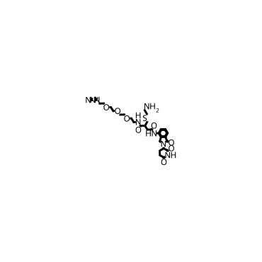 [N-]=[N+]=NCCOCCOCCOCCNC(=O)C(CSCCN)CC(=O)Nc1cccc2c1CN(C1CCC(=O)NC1=O)C2=O